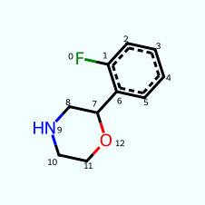 Fc1ccccc1C1CNCCO1